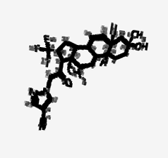 C[C@@]1(O)CC[C@@H]2C3CC[C@@]4(C)C(C[C@@H](C(F)(F)F)C4C(=O)Cn4cc(C#N)cn4)C3CC[C@@H]2C1